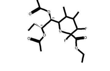 CCOC(=O)C1(F)OC([C@H](OC(C)=O)[C@@H](CC)OC(C)=O)C(C)C(C)C1F